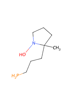 CC1(CCCP)CCCN1O